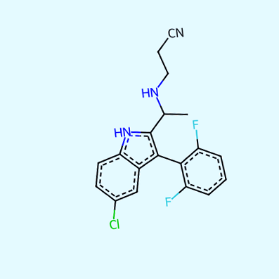 CC(NCCC#N)c1[nH]c2ccc(Cl)cc2c1-c1c(F)cccc1F